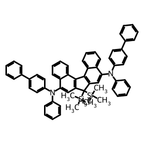 C[Si](C)(C)C1([Si](C)(C)C)c2cc(N(c3ccccc3)c3ccc(-c4ccccc4)cc3)c3ccccc3c2-c2c1cc(N(c1ccccc1)c1ccc(-c3ccccc3)cc1)c1ccccc21